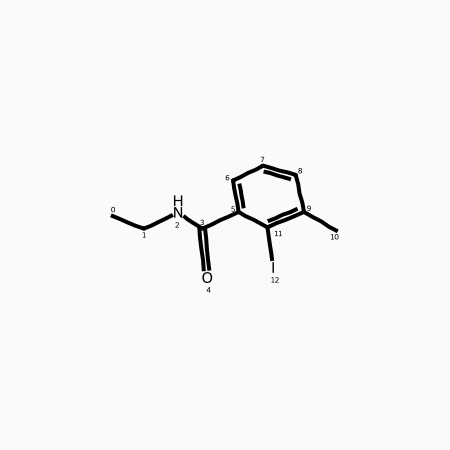 CCNC(=O)c1cccc(C)c1I